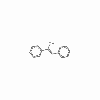 OC(=Cc1ccccc1)c1ccccc1